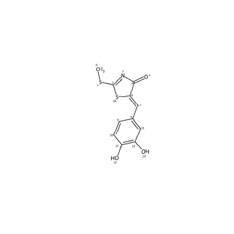 CSC1=NC(=O)/C(=C/c2ccc(O)c(O)c2)S1